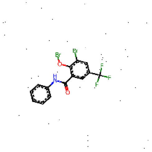 O=C(Nc1ccccc1)c1cc(C(F)(F)F)cc(Br)c1OBr